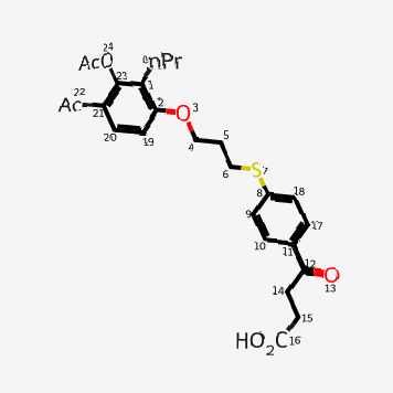 CCCc1c(OCCCSc2ccc(C(=O)CCC(=O)O)cc2)ccc(C(C)=O)c1OC(C)=O